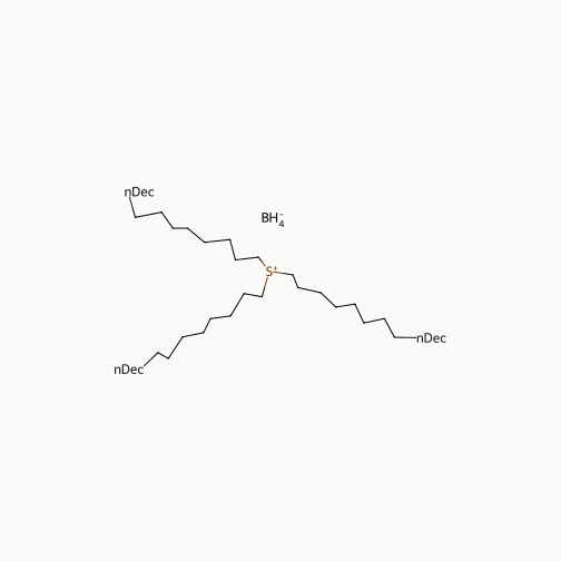 CCCCCCCCCCCCCCCCCC[S+](CCCCCCCCCCCCCCCCCC)CCCCCCCCCCCCCCCCCC.[BH4-]